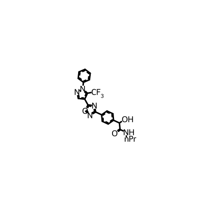 CCCNC(=O)C(O)c1ccc(-c2noc(-c3cnn(-c4ccccc4)c3C(F)(F)F)n2)cc1